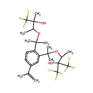 C=C(C)c1ccc(C(C)(C)OC(C)C(C)(O)C(F)(F)F)c(C(C)(C)OC(C)C(O)(C(F)(F)F)C(F)(F)F)c1